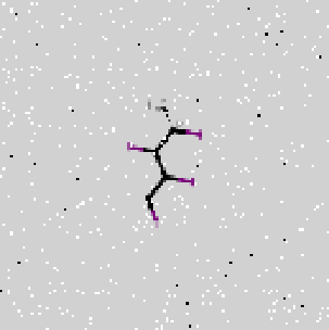 C[C@H](I)C(I)C(I)CI